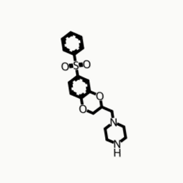 O=S(=O)(c1ccccc1)c1ccc2c(c1)OC(CN1CCNCC1)CO2